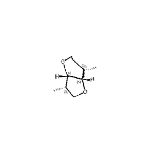 C[C@H]1CO[C@@H]2[C@H]1OC[C@@H]2C